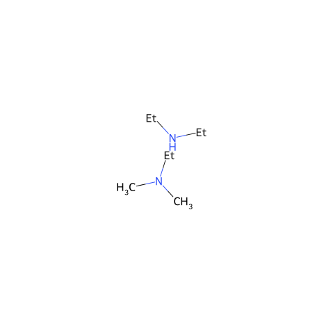 CCN(C)C.CCNCC